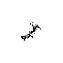 Cc1cc(Oc2c(F)cccc2F)ncc1-n1ncc(C(=O)c2cc3cc(OCC(F)F)c(NS(=O)(=O)CCCF)cc3[nH]2)c1N